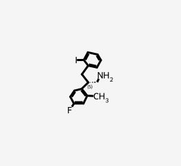 Cc1cc(F)ccc1[C@@H](CN)Cc1ccccc1I